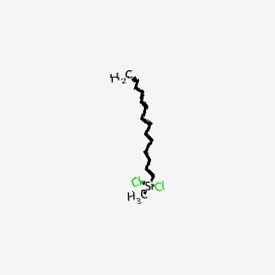 C=CCCCCCCCCCCCC[Si](C)(Cl)Cl